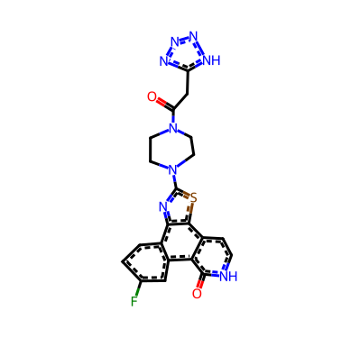 O=C(Cc1nnn[nH]1)N1CCN(c2nc3c4ccc(F)cc4c4c(=O)[nH]ccc4c3s2)CC1